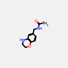 BC(=O)NCc1ccc2c(c1)NCCO2